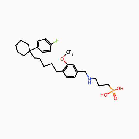 O=P(O)(O)CCCNCc1ccc(CCCCCC2(c3ccc(F)cc3)CCCCC2)c(OC(F)(F)F)c1